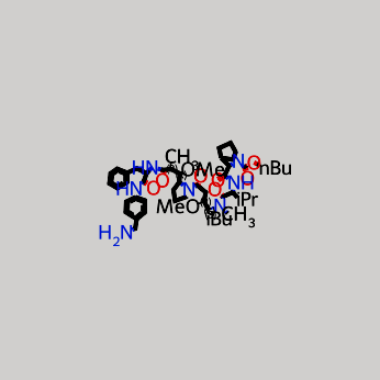 CCCCOC(=O)N1C2CCC(C2)C1C(=O)NC(C(=O)N(C)[C@@H]([C@@H](C)CC)[C@@H](CC(=O)N1CCCC1[C@H](OC)[C@@H](C)C(=O)NC(Cc1ccccc1)C(=O)Nc1ccc(CN)cc1)OC)C(C)C